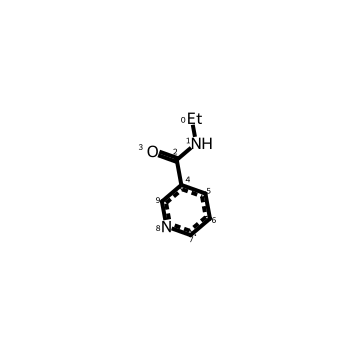 CCNC(=O)c1cc[c]nc1